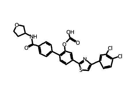 O=C(O)Oc1cc(-c2nc(-c3ccc(Cl)c(Cl)c3)cs2)ccc1-c1ccc(C(=O)NC2CCOC2)cc1